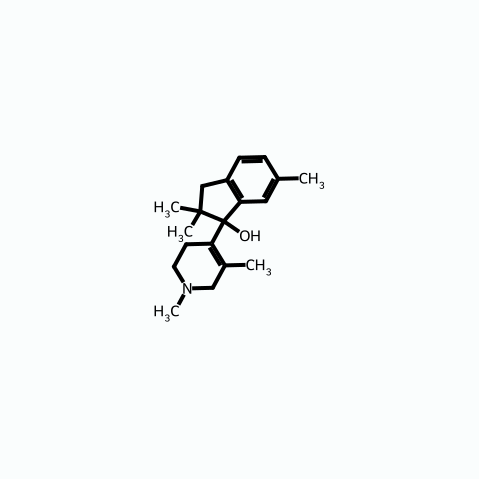 CC1=C(C2(O)c3cc(C)ccc3CC2(C)C)CCN(C)C1